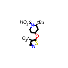 CC(C)(C)C1CC(Oc2sncc2[N+](=O)[O-])CCN1C(=O)O